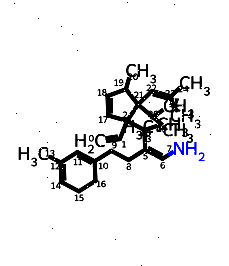 C=CC1(C(C)/C(=C\N)CCC2=CC(C)=CCC2)C=CC(C)C1(C=C(C)C)C(C)(C)C